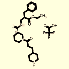 CCOC(=O)C(CNC(=O)[C@@H]1CCCN(C(=O)CCC2CCNCC2)C1)Cc1ccccc1.O=C(O)C(F)(F)F